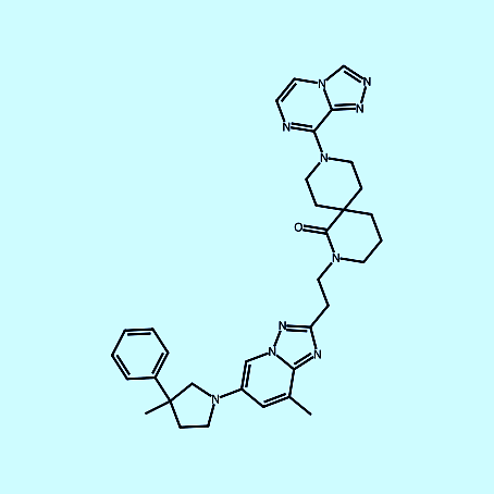 Cc1cc(N2CCC(C)(c3ccccc3)C2)cn2nc(CCN3CCCC4(CCN(c5nccn6cnnc56)CC4)C3=O)nc12